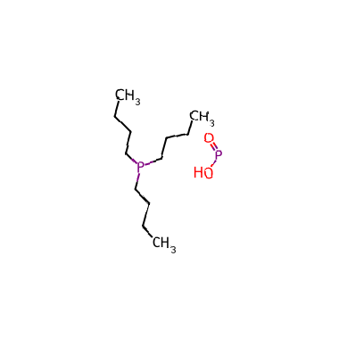 CCCCP(CCCC)CCCC.O=PO